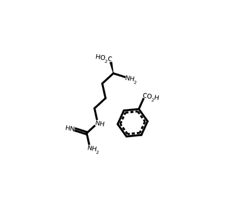 N=C(N)NCCC[C@H](N)C(=O)O.O=C(O)c1ccccc1